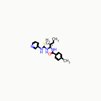 CC[C@H](C)[C@H](NC(=O)c1ccc(C)cc1)NC(=S)Nc1cccnc1